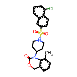 Cc1cccc2c1N(C1CCN(S(=O)(=O)c3ccc4c(Cl)cccc4c3)CC1)C(=O)OC2